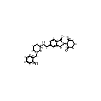 O=C1c2ccc(CN[C@@H]3CCCN(Cc4ccccc4Cl)C3)cc2CN1N1C(=O)CCCC1=O